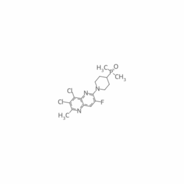 Cc1nc2cc(F)c(N3CCC(P(C)(C)=O)CC3)nc2c(Cl)c1Cl